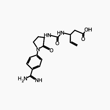 C=CC(CC(=O)O)NC(=O)NC1CCN(c2ccc(C(=N)N)cc2)C1=O